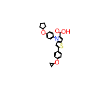 O=C(O)c1cc2sc(-c3ccc(OC4CC4)cc3)cc2n1-c1ccc(OC2CCCC2)cc1